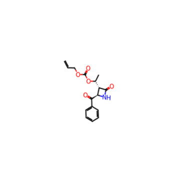 C=CCOC(=O)OC(C)[C@@H]1C(=O)N[C@H]1C(=O)c1ccccc1